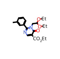 CCOC(=O)c1cnc(-c2cccc(C)c2)n(CC(OCC)OCC)c1=O